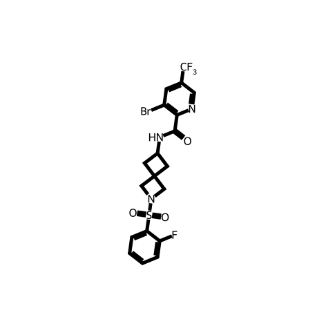 O=C(NC1CC2(C1)CN(S(=O)(=O)c1ccccc1F)C2)c1ncc(C(F)(F)F)cc1Br